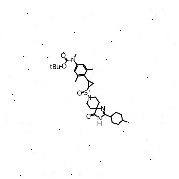 Cc1cc(N(C)C(=O)OC(C)(C)C)cc(C)c1C1CC1[S+]([O-])N1CCC2(CC1)N=C(C1CCC(C)CC1)NC2=O